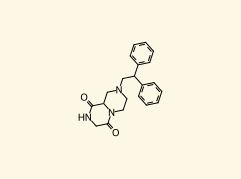 O=C1NCC(=O)N2CCN(CC(c3ccccc3)c3ccccc3)CC12